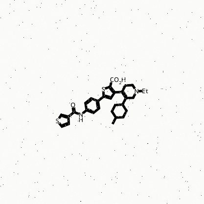 CCN1CCC(c2cc(-c3ccc(NC(=O)c4ccsc4)cc3)sc2C(=O)O)=C(C2CCC(C)CC2)C1